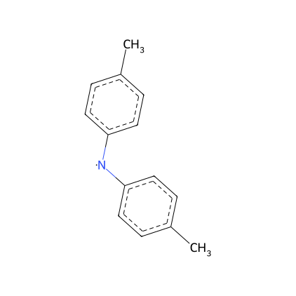 Cc1ccc([N]c2ccc(C)cc2)cc1